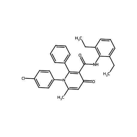 CCc1cccc(CC)c1NC(=O)c1c(-c2ccccc2)n(-c2ccc(Cl)cc2)c(C)cc1=O